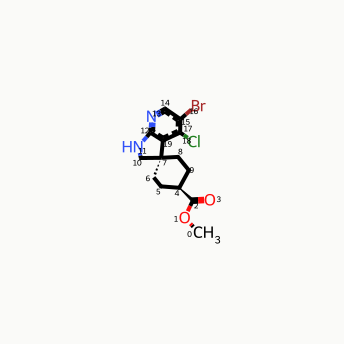 COC(=O)[C@H]1CC[C@]2(CC1)CNc1ncc(Br)c(Cl)c12